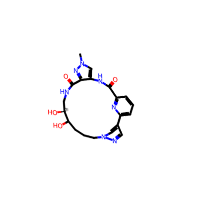 Cn1cc2c(n1)C(=O)NC[C@H](O)C(O)CCCn1cc(cn1)-c1cccc(n1)C(=O)N2